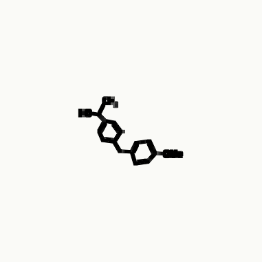 COc1ccc(Cc2[c]cc(C(C)O)cc2)cc1